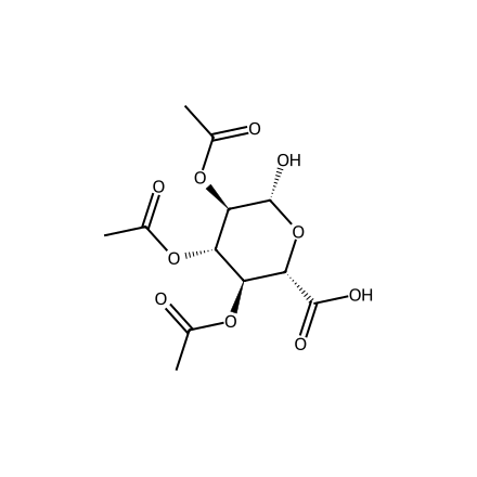 CC(=O)O[C@@H]1[C@@H](OC(C)=O)[C@H](O)O[C@H](C(=O)O)[C@H]1OC(C)=O